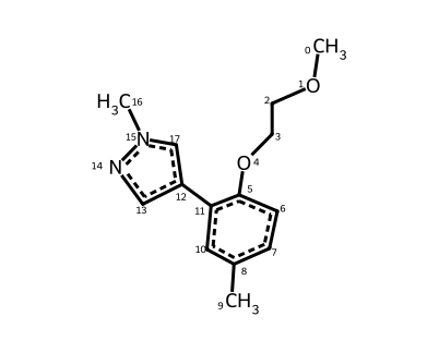 COCCOc1ccc(C)cc1-c1cnn(C)c1